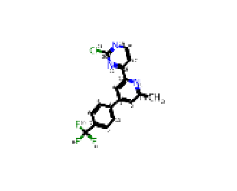 Cc1cc(-c2ccc(C(F)(F)F)cc2)cc(-c2ccnc(Cl)n2)n1